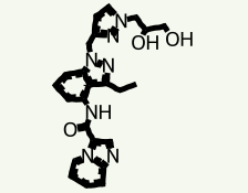 CCc1nn(Cc2ccn(CC(O)CO)n2)c2cccc(NC(=O)c3cnc4ccccn34)c12